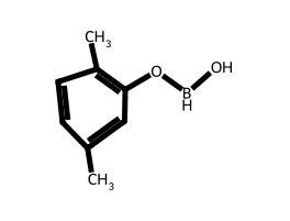 Cc1ccc(C)c(OBO)c1